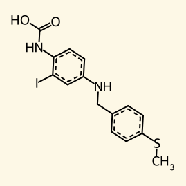 CSc1ccc(CNc2ccc(NC(=O)O)c(I)c2)cc1